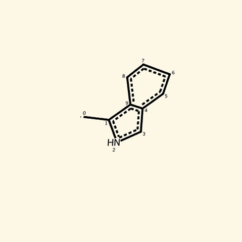 [CH2]c1[nH]cc2ccccc12